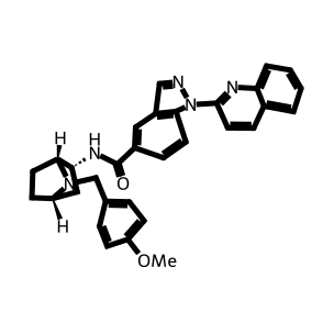 COc1ccc(CN2[C@H]3CC[C@@H]2[C@H](NC(=O)c2ccc4c(cnn4-c4ccc5ccccc5n4)c2)C3)cc1